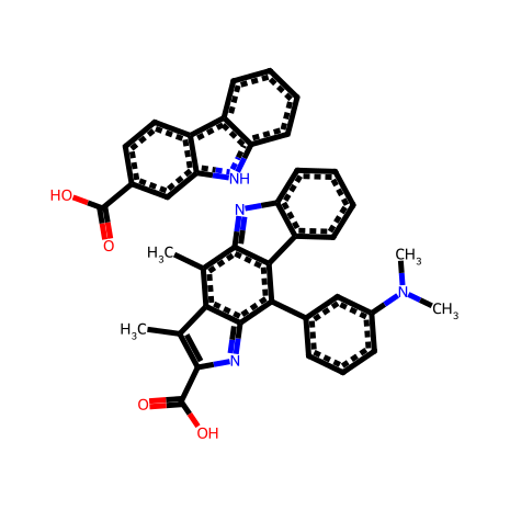 CC1=C(C(=O)O)N=c2c1c(C)c1c(c2-c2cccc(N(C)C)c2)-c2ccccc2N=1.O=C(O)c1ccc2c(c1)[nH]c1ccccc12